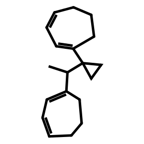 CC(C1=CC=CCCC1)C1(C2=CC=CCCC2)CC1